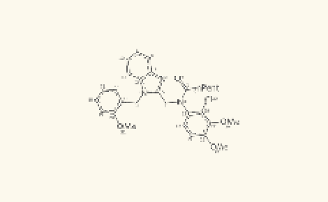 CCCCCC(=O)N(Cc1nc2ccccc2n1Cc1ccccc1OC)c1ccc(OC)c(OC)c1Cl